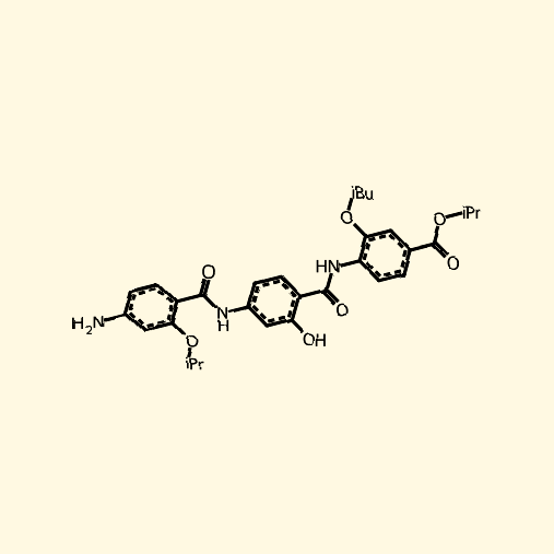 CCC(C)Oc1cc(C(=O)OC(C)C)ccc1NC(=O)c1ccc(NC(=O)c2ccc(N)cc2OC(C)C)cc1O